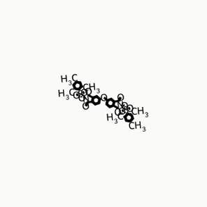 Cc1cc(C)c(S(=O)(=O)ON2C(=O)c3ccc(Oc4ccc5c(c4)C(=O)N(OS(=O)(=O)c4c(C)cc(C)cc4C)C5=O)cc3C2=O)c(C)c1